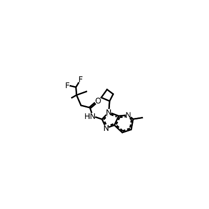 Cc1ccc2nc(NC(=O)CC(C)(C)C(F)F)n(C3CCC3)c2n1